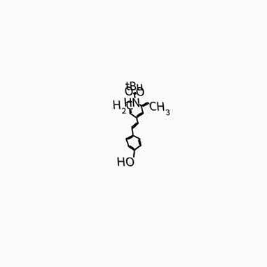 C=CC(/C=C/c1ccc(CO)cc1)=C\C(=C/C)NC(=O)OC(C)(C)C